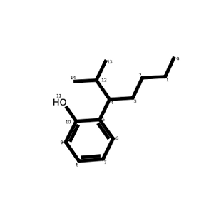 CCCCC(c1ccccc1O)C(C)C